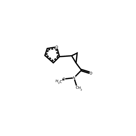 CON(C)C(=O)C1CC1c1ccco1